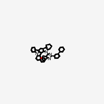 c1ccc(-c2cccc(-c3nc(-n4c5ccccc5c5cc6c7ccccc7n7c8ccc9ccccc9c8c(c54)c67)c4ccccc4n3)c2)cc1